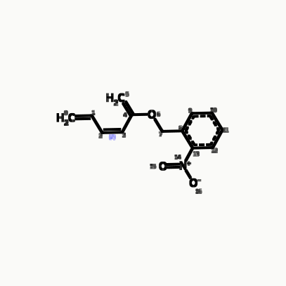 C=C/C=C\C(=C)OCc1ccccc1[N+](=O)[O-]